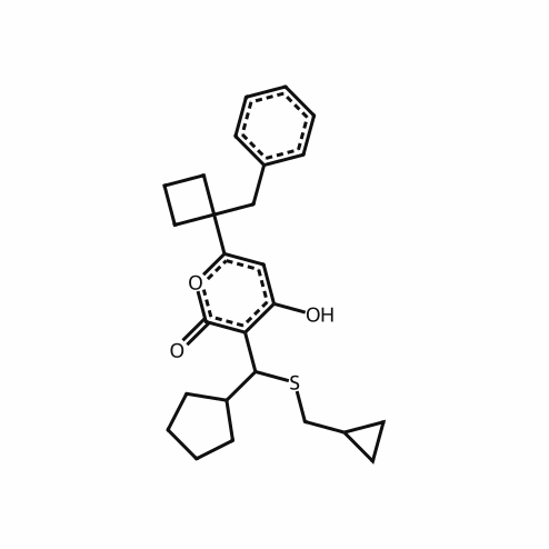 O=c1oc(C2(Cc3ccccc3)CCC2)cc(O)c1C(SCC1CC1)C1CCCC1